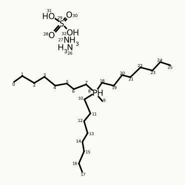 CCCCCCCC[PH](C)(CCCCCCCC)CCCCCCCC.N.N.O=S(=O)(O)O